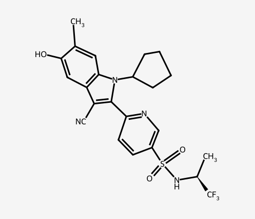 Cc1cc2c(cc1O)c(C#N)c(-c1ccc(S(=O)(=O)N[C@@H](C)C(F)(F)F)cn1)n2C1CCCC1